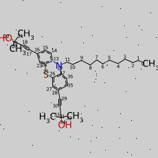 CCCCCCCCCCCCN1c2ccc(C#CC(C)(C)O)cc2Sc2cc(C#CC(C)(C)O)ccc21